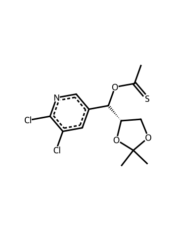 CC(=S)OC(c1cnc(Cl)c(Cl)c1)[C@@H]1COC(C)(C)O1